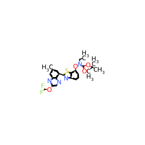 CCN(Oc1cccc2nc(-c3cc(C)cc4nc(OC(F)F)cnc34)sc12)C(=O)OC(C)(C)C